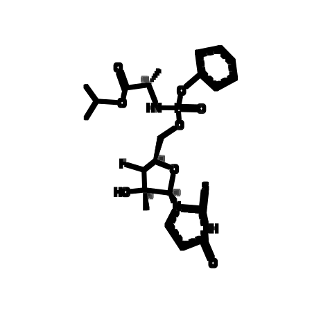 CC(C)OC(=O)[C@H](C)NP(=O)(OC[C@H]1O[C@@H](n2ccc(=O)[nH]c2=S)[C@](C)(O)C1F)Oc1ccccc1